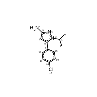 CC(C)n1nc(N)cc1-c1ccc(Cl)cc1